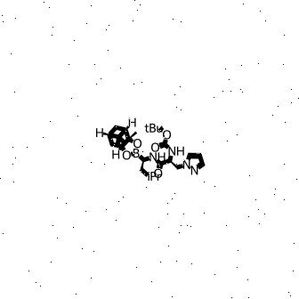 CC(C)C[C@H](NC(=O)[C@H](Cn1cccn1)NC(=O)OC(C)(C)C)B1O[C@@H]2C[C@@H]3C[C@@H](C3(C)C)[C@]2(C)O1